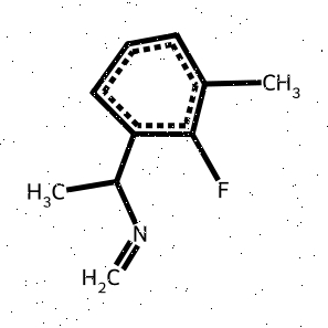 C=NC(C)c1cccc(C)c1F